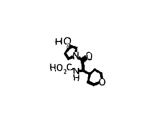 O=C(O)NC(C(=O)N1CC[C@H](O)C1)C1CCOCC1